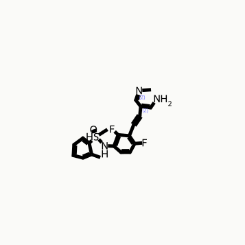 C/N=C\C(C#Cc1c(F)ccc(N[SH](C)(=O)c2ccccc2C)c1F)=C/N